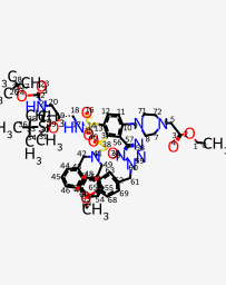 CCOC(=O)CN1CCN(c2ccc(S(=O)(=O)NC[C@@H](CNC(=O)OC(C)(C)C)O[Si](C)(C)C(C)(C)C)c(S(=O)(=O)N(Cc3ccccc3)Cc3ccccc3)c2-c2nnn(Cc3ccc(OC)cc3)n2)CC1